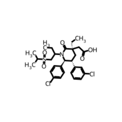 CCC(CS(=O)(=O)C(C)C)N1C(=O)[C@@](CC)(CC(=O)O)C[C@H](c2cccc(Cl)c2)[C@H]1c1ccc(Cl)cc1